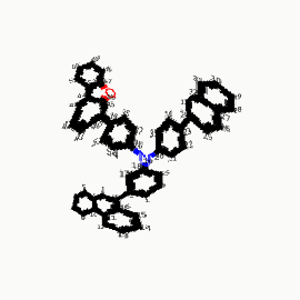 c1cc(-c2cc3ccccc3c3ccccc23)cc(N(c2ccc(-c3ccc4ccccc4c3)cc2)c2ccc(-c3cccc4c3oc3ccccc34)cc2)c1